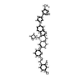 Cc1cc(-c2cn(-c3ccc4c(c3)nc(CN3CC=C(c5cccc(OCc6ccc(Cl)cc6F)n5)CC3)n4C[C@@H]3CCO3)cn2)[nH]n1